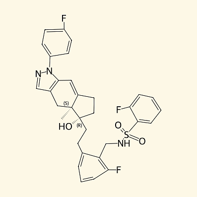 C[C@]12Cc3cnn(-c4ccc(F)cc4)c3C=C1CC[C@@]2(O)CCc1cccc(F)c1CNS(=O)(=O)c1ccccc1F